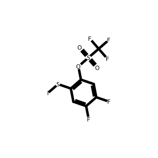 O=S(=O)(Oc1cc(F)c(F)cc1SI)C(F)(F)F